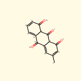 CC1=CC(=O)C2C(=O)C3C(=O)C=CC=C3C(=O)C2=C1